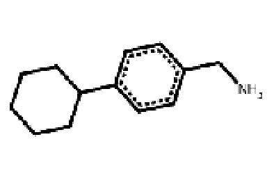 NCc1ccc(C2CCCCC2)cc1